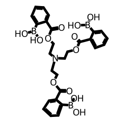 O=C(OCCN(CCOC(=O)c1ccccc1B(O)O)CCOC(=O)c1ccccc1B(O)O)c1ccccc1B(O)O